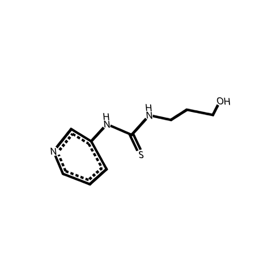 OCCCNC(=S)Nc1cccnc1